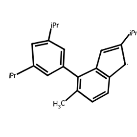 Cc1ccc2c(c1-c1cc(C(C)C)cc(C(C)C)c1)C=C(C(C)C)[CH]2